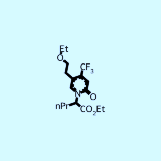 CCCC(C(=O)OCC)n1cc(CCOCC)c(C(F)(F)F)cc1=O